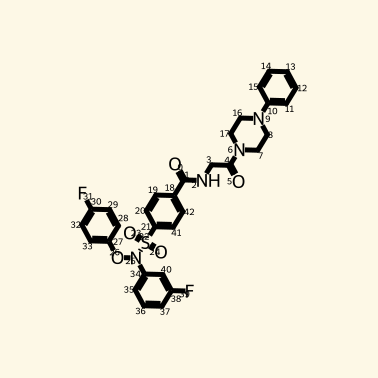 O=C(NCC(=O)N1CCN(c2ccccc2)CC1)c1ccc(S(=O)(=O)N(Oc2ccc(F)cc2)c2cccc(F)c2)cc1